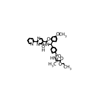 CCOC(=O)[C@H](C)N[PH](=O)c1ccc(C(NC(=O)c2cnc(-c3ccccn3)nc2O)c2ccc(OC)cc2)cc1